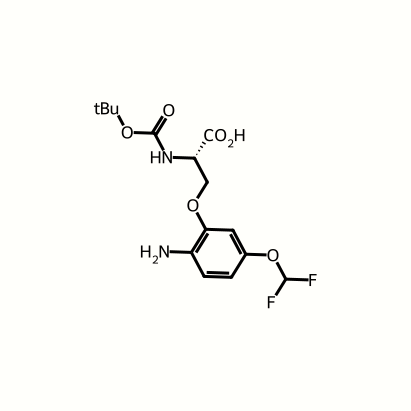 CC(C)(C)OC(=O)N[C@@H](COc1cc(OC(F)F)ccc1N)C(=O)O